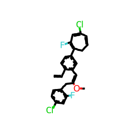 C=Cc1ccc(C2=C(F)C=C(Cl)C=CC2)cc1/C=C(\Cc1ccc(Cl)cc1F)OC